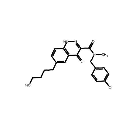 CN(Cc1ccc(Cl)cc1)C(=O)c1n[nH]c2ccc(CCCCO)cc2c1=O